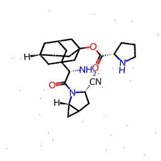 N#C[C@@H]1CC2C[C@@H]2N1C(=O)[C@@H](N)C12CC3C[C@H](CC(OC(=O)[C@@H]4CCCN4)(C3)C1)C2